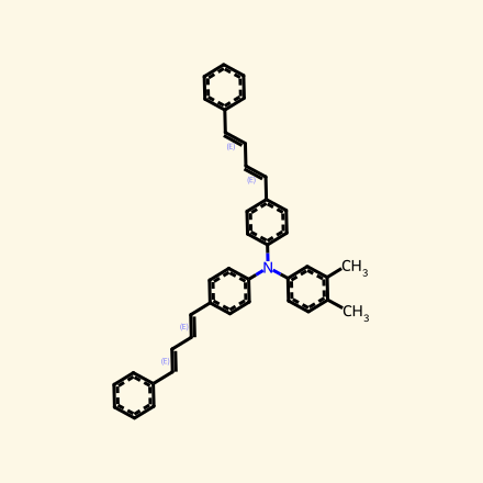 Cc1ccc(N(c2ccc(/C=C/C=C/c3ccccc3)cc2)c2ccc(/C=C/C=C/c3ccccc3)cc2)cc1C